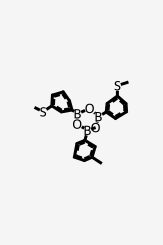 CSc1cccc(B2OB(c3cccc(C)c3)OB(c3cccc(SC)c3)O2)c1